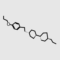 CCCOc1ccc(CC[C@H]2CC[C@H]([C@H]3CC[C@H](CCC)CC3)CC2)cc1